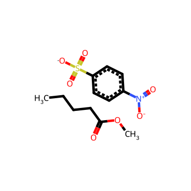 CCCCC(=O)OC.[O]S(=O)(=O)c1ccc([N+](=O)[O-])cc1